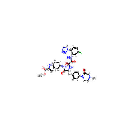 CC(C)N1CCN(c2ccc(CC(NC(=O)C(=O)Nc3cc(Cl)ccc3-n3cnnn3)C(=O)Nc3ccc4[nH]c(C(=O)OC(C)(C)C)cc4c3)cc2)C(=O)C1